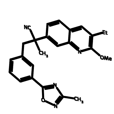 CCc1cc2ccc(C(C)(C#N)Cc3cccc(-c4nc(C)no4)c3)cc2nc1OC